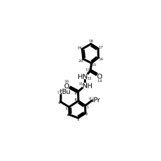 CC(C)c1cccc(CC(C)(C)C)c1C(=O)NNC(=O)c1ccccc1